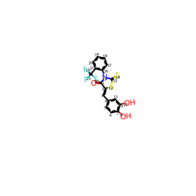 O=C1C(=Cc2ccc(O)c(O)c2)SC(=S)N1c1ccccc1C(F)(F)F